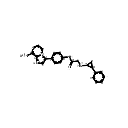 CNc1nccn2c(-c3ccc(NC(=O)CNC4CC4c4ccccc4)cc3)cnc12